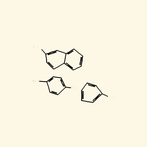 Cc1ccc(O)cc1.Oc1ccc2ccccc2c1.Oc1ccccc1